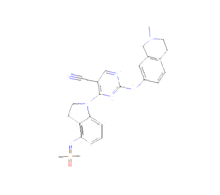 CN1CCc2ccc(Nc3ncc(C#N)c(N4CCc5c(N=S(C)(C)=O)cccc54)n3)cc2C1